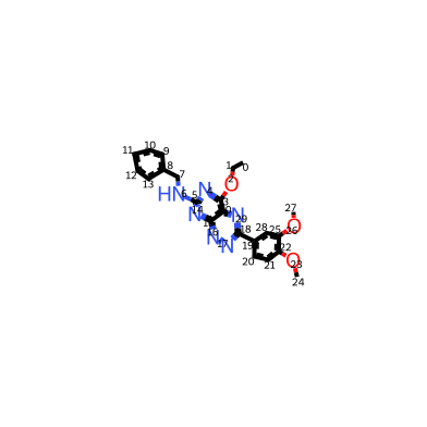 CCOc1nc(NCc2ccccc2)nc2nnc(-c3ccc(OC)c(OC)c3)nc12